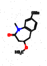 COc1ccc2c(c1)N(C)C(=O)CC(OC(=O)O)C2